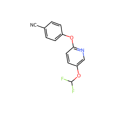 N#Cc1ccc(Oc2ccc(OC(F)F)cn2)cc1